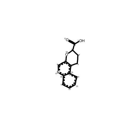 O=C(O)C1CCc2c(cnc3ccccc23)O1